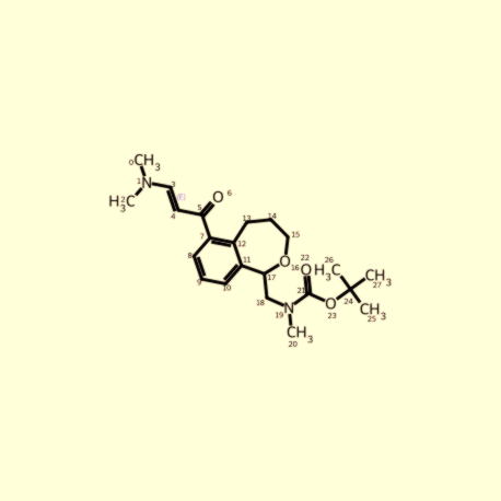 CN(C)/C=C/C(=O)c1cccc2c1CCCOC2CN(C)C(=O)OC(C)(C)C